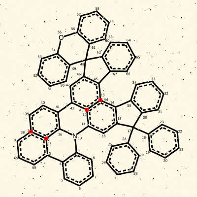 c1ccc(-c2ccccc2N(c2ccc3c(c2)C(c2ccccc2)(c2ccccc2)c2ccccc2-3)c2ccccc2-c2ccc3c(c2)C2(c4ccccc4Oc4ccccc42)c2ccccc2-3)cc1